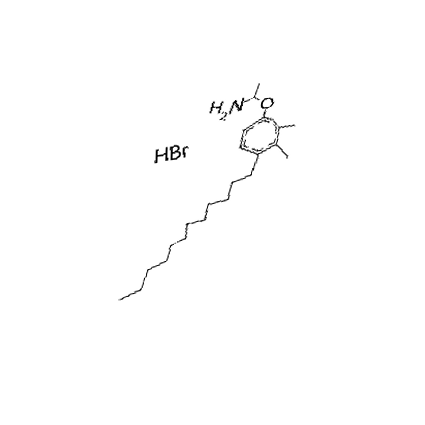 Br.CCCCCCCCCCCCc1ccc(OC(C)N)c(C)c1C